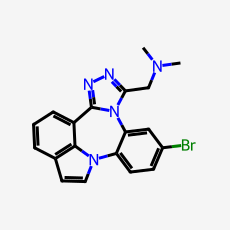 CN(C)Cc1nnc2c3cccc4ccn(c5ccc(Br)cc5n12)c43